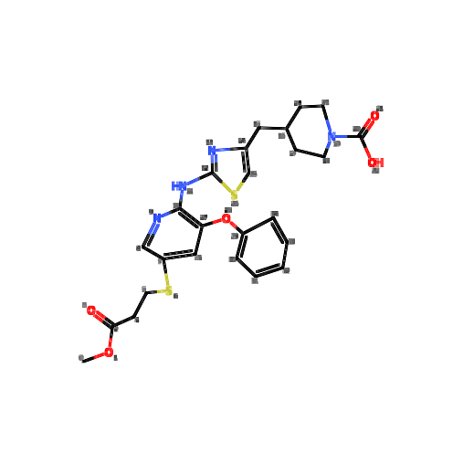 COC(=O)CCSc1cnc(Nc2nc(CC3CCN(C(=O)O)CC3)cs2)c(Oc2ccccc2)c1